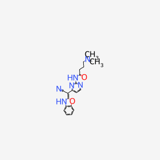 CN(C)CCCC(=O)Nc1nccc(C(C#N)=C2Nc3ccccc3O2)n1